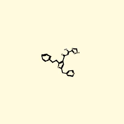 O=C(C=C(O)c1nc[nH]n1)c1cc(Cc2ccncc2)oc1CCc1ccccc1